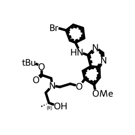 COc1cc2ncnc(Nc3cccc(Br)c3)c2cc1OCCN(CC(=O)OC(C)(C)C)C[C@@H](C)O